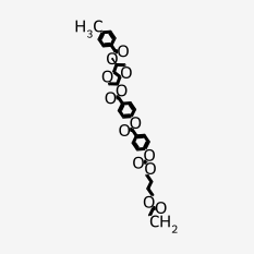 C=CC(=O)OCCCCOC(=O)Oc1ccc(C(=O)Oc2ccc(C(=O)O[C@H]3COC4C3OC[C@@H]4OC(=O)c3ccc(C)cc3)cc2)cc1